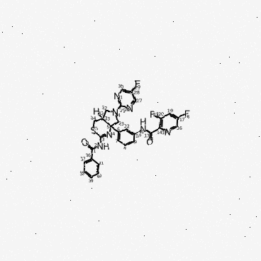 O=C(NC1=NC2(c3cccc(NC(=O)c4ncc(F)cc4F)c3)CN(c3ncc(F)cn3)C[C@H]2CS1)c1ccccc1